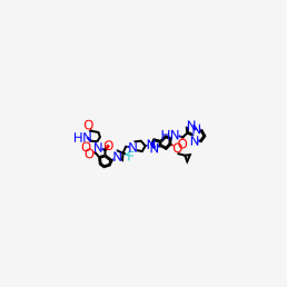 O=C1CCC(N2C(=O)c3cccc(N4CC(F)(CN5CCC(n6cc7cc(NC(=O)c8cnn9cccnc89)c(OCC8CC8)cc7n6)CC5)C4)c3C2=O)C(=O)N1